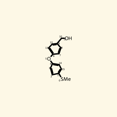 CSc1ccc(Oc2ccc(CO)cc2)cc1